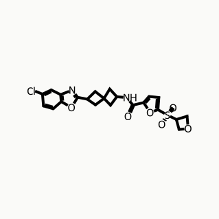 O=C(NC1CC2(C1)CC(c1nc3cc(Cl)ccc3o1)C2)c1ccc(S(=O)(=O)C2COC2)o1